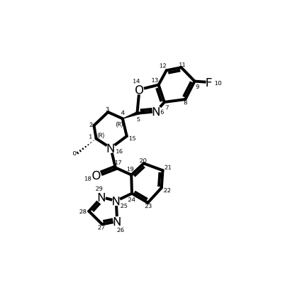 C[C@@H]1CC[C@@H](c2nc3cc(F)ccc3o2)CN1C(=O)c1ccccc1-n1nccn1